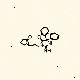 N=C1NC(C2=CCCC=C2)(c2ccccc2)C(=O)N1CCCN1CCCC1=O